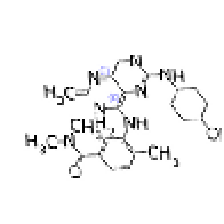 C=C/N=C1/C=NC(NC2CCC(O)CC2)=N/C1=C(/N)Nc1cc(C(=O)N(C)C)ccc1C